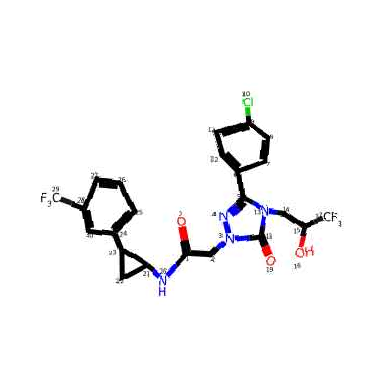 O=C(Cn1nc(-c2ccc(Cl)cc2)n(CC(O)C(F)(F)F)c1=O)NC1CC1c1cccc(C(F)(F)F)c1